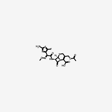 CON=C(C(=O)N[C@@H]1C(=O)N2C(C(=O)O)=C(COC(C)=O)CS[C@H]12)c1nc(N)sc1F